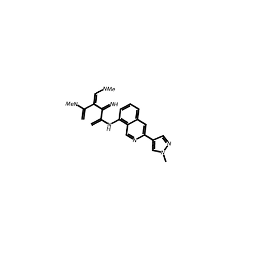 C=C(Nc1cccc2cc(-c3cnn(C)c3)ncc12)C(=N)/C(=C\NC)C(=C)NC